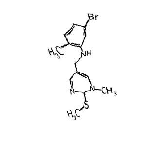 CSC1N=CC(CNc2cc(Br)ccc2C)=CN1C